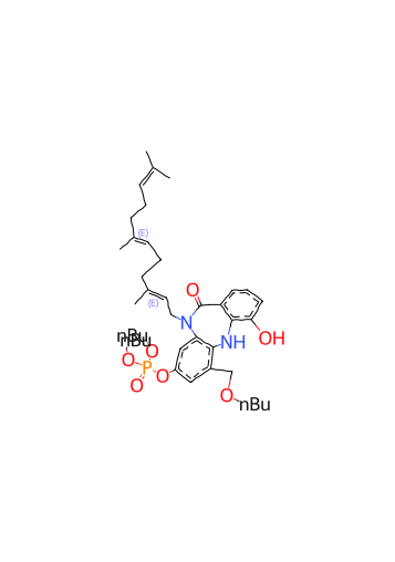 CCCCOCc1cc(OP(=O)(OCCCC)OCCCC)cc2c1Nc1c(O)cccc1C(=O)N2C/C=C(\C)CC/C=C(\C)CCC=C(C)C